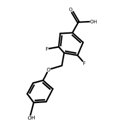 O=C(O)c1cc(F)c(COc2ccc(O)cc2)c(F)c1